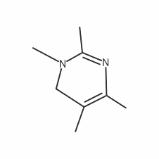 CC1=NC(C)=C(C)CN1C